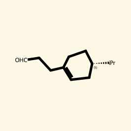 CC(C)[C@@H]1CC=C(CCC=O)CC1